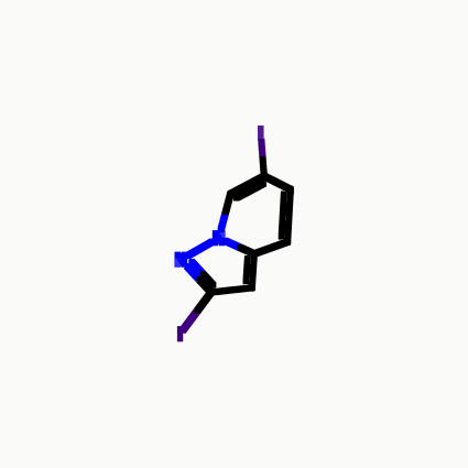 Ic1ccc2cc(I)nn2c1